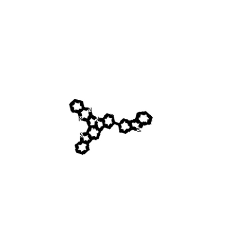 c1ccc2nc3c(nc2c1)c1c2sc4ccccc4c2cc2c4cc(-c5ccc6sc7ccccc7c6c5)ccc4n3c21